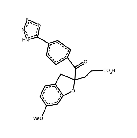 COc1ccc2c(c1)OC(CCC(=O)O)(C(=O)c1ccc(-c3nnn[nH]3)cc1)C2